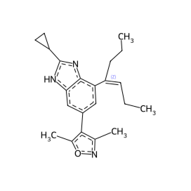 CC/C=C(/CCC)c1cc(-c2c(C)noc2C)cc2[nH]c(C3CC3)nc12